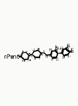 CCCCCC1CCC(C2CCC(CCc3ccc(-c4ccc(F)c(F)c4)c(F)c3)CC2)CC1